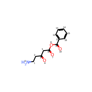 NCCC(=O)CC(=O)OC(=O)c1ccccc1